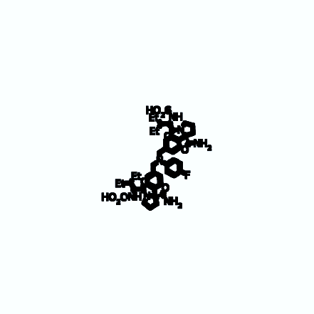 CCC(CC)[C@H](NC(=O)O)C(=O)N1CCC[C@@]1(C(N)=O)c1ccc(CN(Cc2ccc([C@]3(C(N)=O)CCCN3C(=O)[C@@H](NC(=O)O)C(CC)CC)cc2)c2ccc(F)cc2)cc1